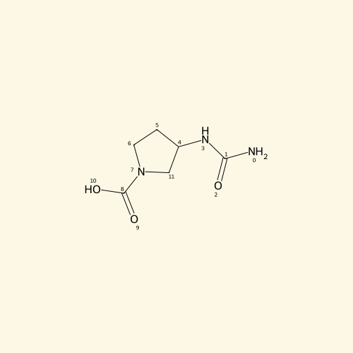 NC(=O)NC1CCN(C(=O)O)C1